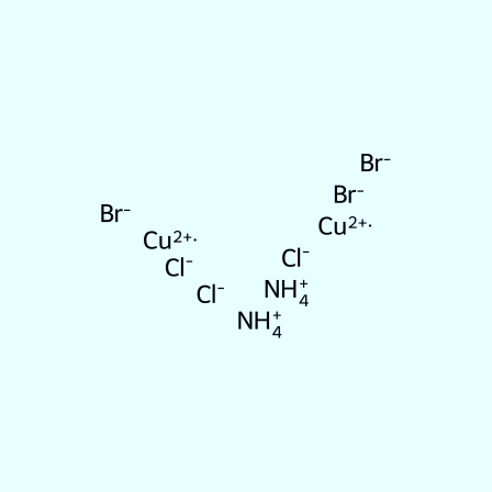 [Br-].[Br-].[Br-].[Cl-].[Cl-].[Cl-].[Cu+2].[Cu+2].[NH4+].[NH4+]